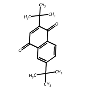 CC(C)(C)C1=CC(=O)c2cc(C(C)(C)C)ccc2C1=O